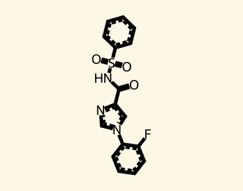 O=C(NS(=O)(=O)c1ccccc1)c1cn(-c2ccccc2F)cn1